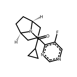 O=C(C1CC1)N1[C@@H]2CC[C@H]1CN(c1ncncc1F)C2